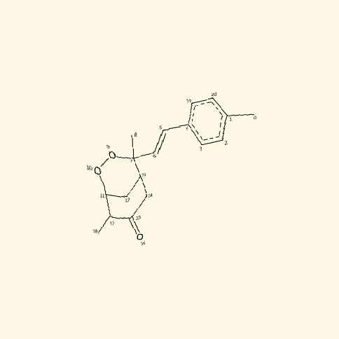 Cc1ccc(C=CC2(C)OOC3CC2CC(=O)C3C)cc1